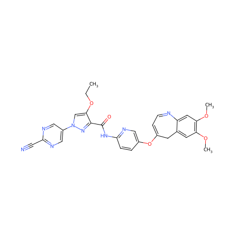 CCOc1cn(-c2cnc(C#N)nc2)nc1C(=O)Nc1ccc(OC2=CC=Nc3cc(OC)c(OC)cc3C2)cn1